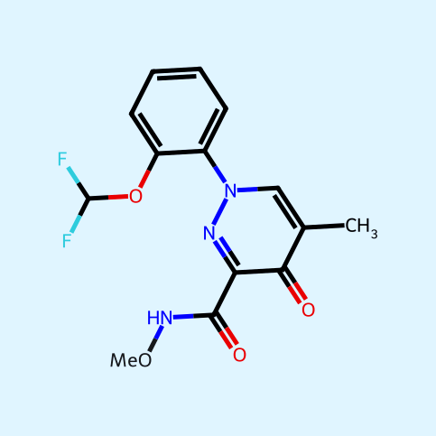 CONC(=O)c1nn(-c2ccccc2OC(F)F)cc(C)c1=O